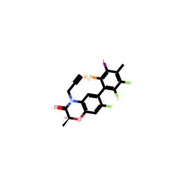 C#CCN1C(=O)[C@H](C)Oc2cc(F)c(-c3c(F)c(F)c(C)c(I)c3P)cc21